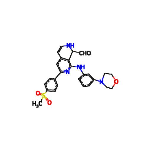 CS(=O)(=O)c1ccc(-c2cc3c(c(Nc4cccc(N5CCOCC5)c4)n2)C(C=O)NC=C3)cc1